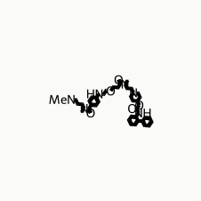 CNCCCN(C)C(=O)c1ccc(NCCOCCC(=O)N(C)CCN2CCC(OC(=O)Nc3ccccc3-c3ccccc3)CC2)cc1